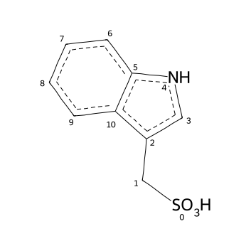 O=S(=O)(O)Cc1c[nH]c2ccccc12